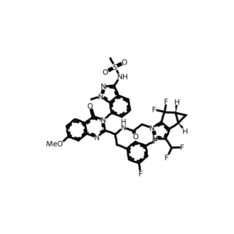 COc1ccc2c(=O)n(-c3cccc4c(NS(C)(=O)=O)nn(C)c34)c(C(Cc3cc(F)cc(F)c3)NC(=O)Cn3nc(C(F)F)c4c3C(F)(F)[C@@H]3C[C@H]43)nc2c1